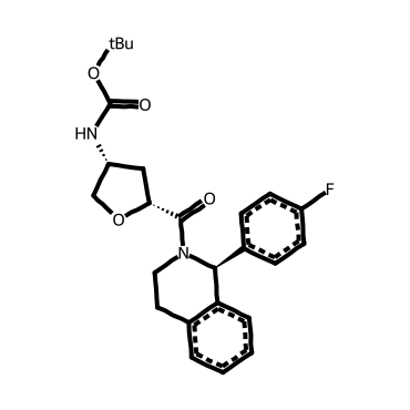 CC(C)(C)OC(=O)N[C@H]1CO[C@@H](C(=O)N2CCc3ccccc3[C@@H]2c2ccc(F)cc2)C1